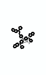 CC1CC(N(C2=CC=CCC2)c2ccc3ccccc3c2)=CC=C1N(c1ccc(CCC(C2=CCC3C=CC=CC3=C2)c2ccccc2)cc1)c1ccc(N(c2ccccc2)c2ccc3ccccc3c2)cc1